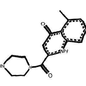 Cc1cccc2[nH]c(C(=O)N3CCNCC3)cc(=O)c12